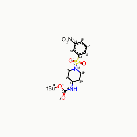 CC(C)(C)OC(=O)NC1CCN(S(=O)(=O)c2cccc([N+](=O)[O-])c2)CC1